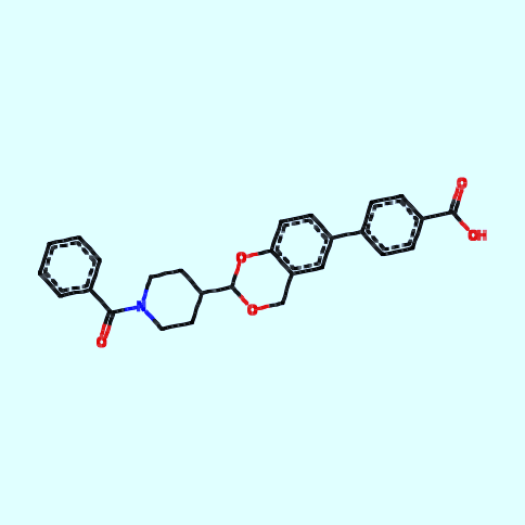 O=C(O)c1ccc(-c2ccc3c(c2)COC(C2CCN(C(=O)c4ccccc4)CC2)O3)cc1